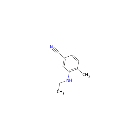 CCNc1cc(C#N)ccc1C